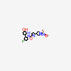 COCNC(=S)N1CCC(C2=NC(C(=O)Nc3ccc(F)cc3-c3ccc(O)cc3)=CC2)CC1